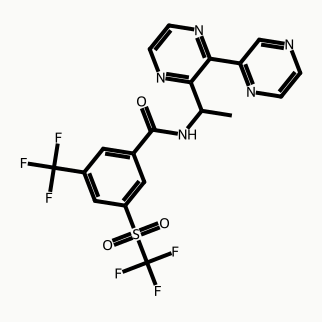 CC(NC(=O)c1cc(C(F)(F)F)cc(S(=O)(=O)C(F)(F)F)c1)c1nccnc1-c1cnccn1